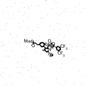 COC(=O)CCc1ccc(OC)c(-c2c(C)cc(N3CCC3)nc2CN2C(=O)O[C@H](c3cc(C(F)(F)F)cc(C(F)(F)F)c3)[C@@H]2C)c1